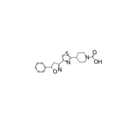 O=C(O)N1CCC(c2nc(C3=NOC(c4ccccc4)C3)cs2)CC1